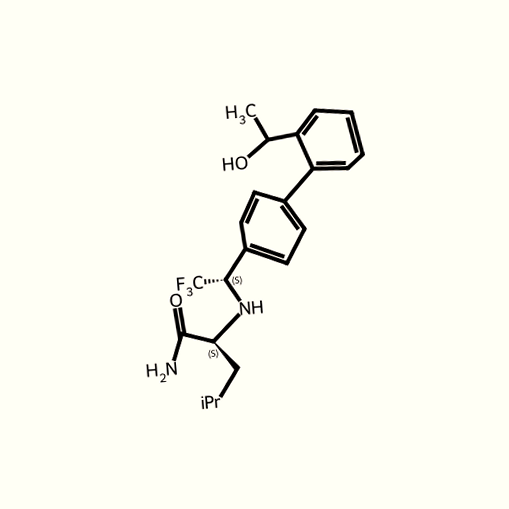 CC(C)C[C@H](N[C@@H](c1ccc(-c2ccccc2C(C)O)cc1)C(F)(F)F)C(N)=O